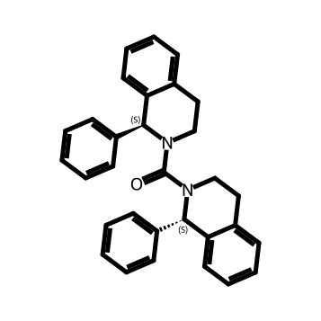 O=C(N1CCc2ccccc2[C@@H]1c1ccccc1)N1CCc2ccccc2[C@@H]1c1ccccc1